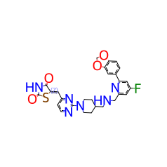 O=C1NC(=O)/C(=C/c2ccnc(N3CCC(CNCc4cc(F)cc(-c5ccc6c(c5)OCO6)n4)CC3)n2)S1